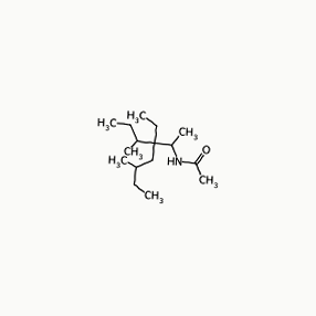 CCC(C)CC(CC)(C(C)CC)C(C)NC(C)=O